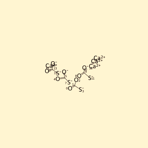 O=C([O-])[S-].O=C([O-])[S-].O=C([O-])[S-].O=C([O-])[S-].[Ca+2].[Ca+2].[Ca+2].[Ca+2]